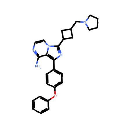 Nc1nccn2c(C3CC(CN4CCCC4)C3)nc(-c3ccc(Oc4ccccc4)cc3)c12